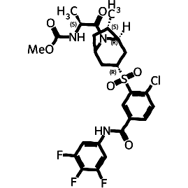 COC(=O)N[C@@H](C)C(=O)N1C2C[C@@H](S(=O)(=O)c3cc(C(=O)Nc4cc(F)c(F)c(F)c4)ccc3Cl)C[C@@H]1[C@@H](C)C2